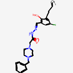 CCCc1cc(F)cc(/C=N/NC(=O)CN2CCN(Cc3ccccc3)CC2)c1O